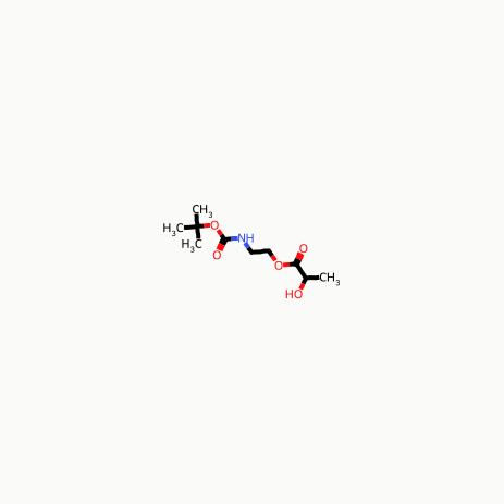 CC(O)C(=O)OCCNC(=O)OC(C)(C)C